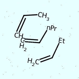 C=CC.C=CCC.C=CCCC